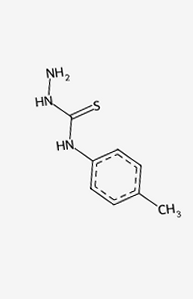 Cc1ccc(NC(=S)NN)cc1